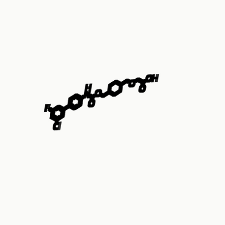 O=C(O)COCC1CCC(COC(=O)Nc2ccc(-c3cc(F)cc(Cl)c3)cc2)CC1